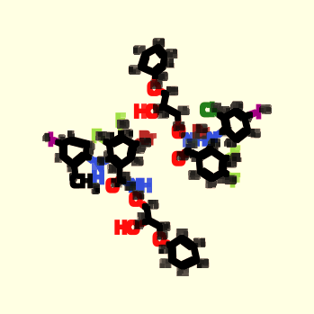 Cc1cc(I)ccc1Nc1c(C(=O)NOCC(O)COc2ccccc2)cc(Br)c(F)c1F.O=C(c1ccc(F)c(F)c1Nc1ccc(I)cc1Cl)N(Br)OCC(O)COc1ccccc1